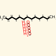 CCCCCCCCCCCCC.O.O.O.O.O